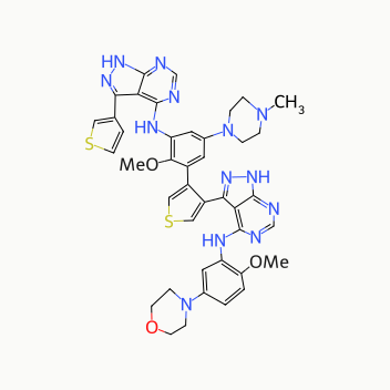 COc1ccc(N2CCOCC2)cc1Nc1ncnc2[nH]nc(-c3cscc3-c3cc(N4CCN(C)CC4)cc(Nc4ncnc5[nH]nc(-c6ccsc6)c45)c3OC)c12